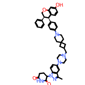 Cc1nn(C2CCC(=O)NC2=O)c2ccc(N3CCN(CC4CC5(CCN(c6ccc([C@@H]7c8ccc(O)cc8OC[C@@H]7c7ccccc7)cc6)CC5)C4)CC3)cc12